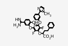 Cn1ccnc1-c1cccc(Oc2nc(Oc3cc(C(=N)N)ccc3O)c(F)c(OC(CCc3ccccc3)C(=O)O)c2F)c1